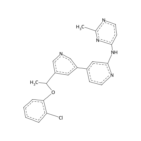 Cc1nccc(Nc2cc(-c3cncc(C(C)Oc4ccccc4Cl)c3)ccn2)n1